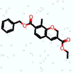 CCOC(=O)C1=Cc2ccc(C(=O)OCc3ccccc3)c(C)c2OC1